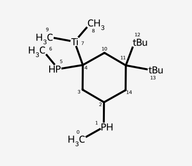 CPC1C[C](PC)([Ti]([CH3])[CH3])CC(C(C)(C)C)(C(C)(C)C)C1